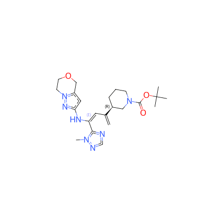 C=C(/C=C(/Nc1cc2n(n1)CCOC2)c1ncnn1C)[C@H]1CCCN(C(=O)OC(C)(C)C)C1